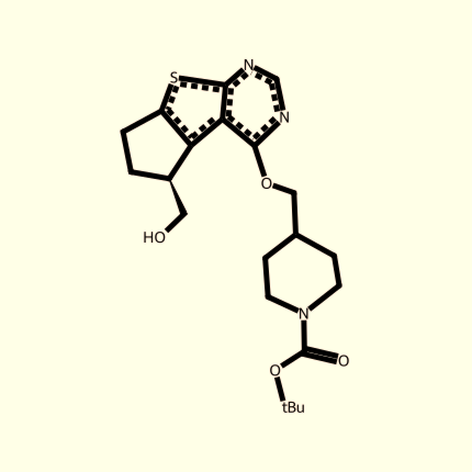 CC(C)(C)OC(=O)N1CCC(COc2ncnc3sc4c(c23)[C@@H](CO)CC4)CC1